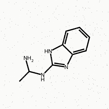 CC(N)Nc1nc2ccccc2[nH]1